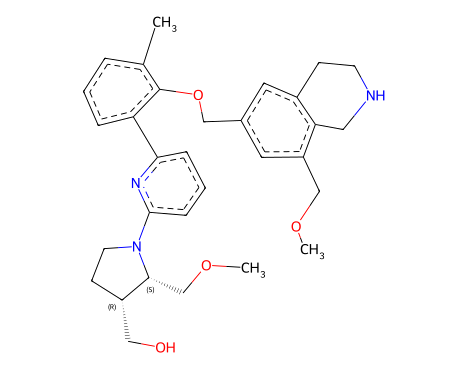 COCc1cc(COc2c(C)cccc2-c2cccc(N3CC[C@@H](CO)[C@H]3COC)n2)cc2c1CNCC2